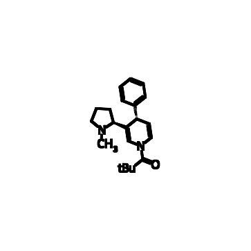 CN1CCC[C@H]1C1=CN(C(=O)C(C)(C)C)C=C[C@H]1c1ccccc1